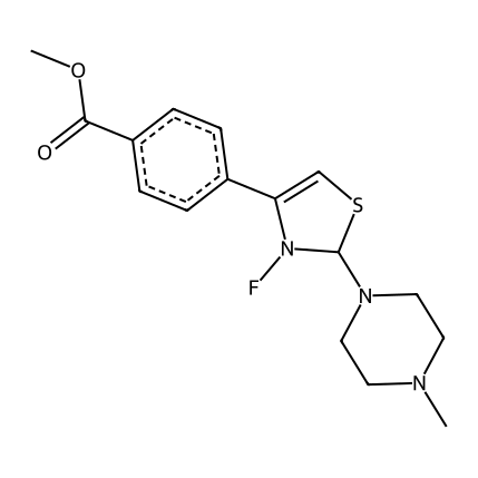 COC(=O)c1ccc(C2=CSC(N3CCN(C)CC3)N2F)cc1